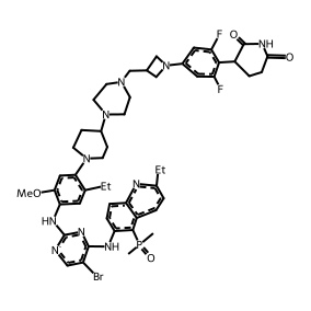 CCc1ccc2c(P(C)(C)=O)c(Nc3nc(Nc4cc(CC)c(N5CCC(N6CCN(CC7CN(c8cc(F)c(C9CCC(=O)NC9=O)c(F)c8)C7)CC6)CC5)cc4OC)ncc3Br)ccc2n1